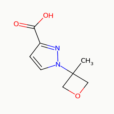 CC1(n2ccc(C(=O)O)n2)COC1